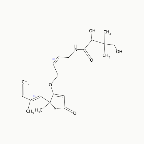 C=C/C(C)=C/C1(C)SC(=O)C=C1OC/C=C\CNC(=O)C(O)C(C)(C)CO